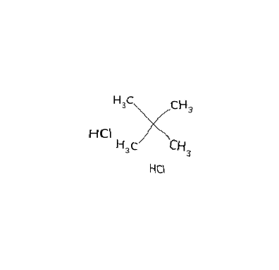 CC(C)(C)C.Cl.Cl